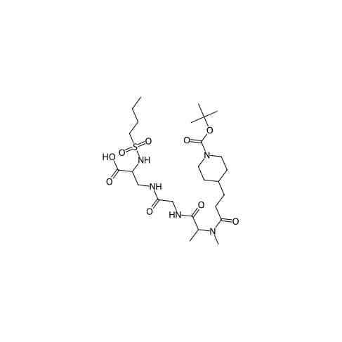 CCCCS(=O)(=O)NC(CNC(=O)CNC(=O)C(C)N(C)C(=O)CCC1CCN(C(=O)OC(C)(C)C)CC1)C(=O)O